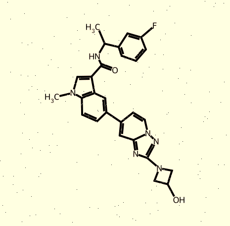 CC(NC(=O)c1cn(C)c2ccc(-c3ccn4nc(N5CC(O)C5)nc4c3)cc12)c1cccc(F)c1